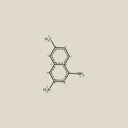 Cc1ccc2c(N)nc(N)cc2c1